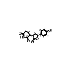 O=C1CC[C@@H](N2C[C@@H](c3ccc(Br)cc3)OC2=O)C(=O)N1